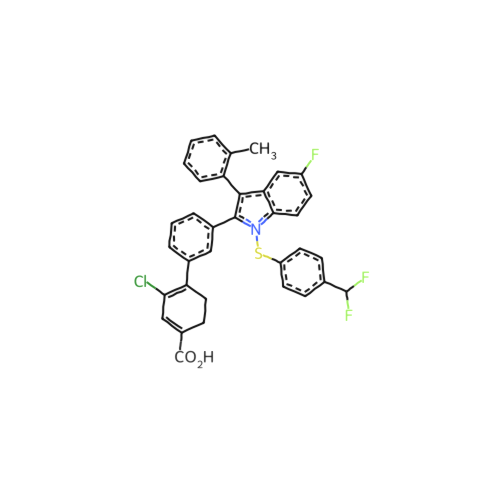 Cc1ccccc1-c1c(-c2cccc(C3=C(Cl)C=C(C(=O)O)CC3)c2)n(Sc2ccc(C(F)F)cc2)c2ccc(F)cc12